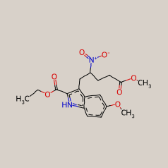 CCOC(=O)c1[nH]c2ccc(OC)cc2c1CC(CCC(=O)OC)[N+](=O)[O-]